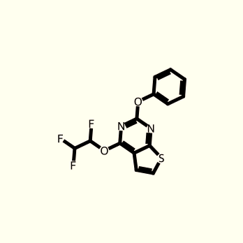 FC(F)C(F)Oc1nc(Oc2ccccc2)nc2sccc12